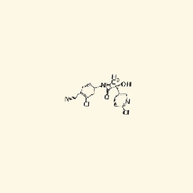 CC(O)(C(=O)Nc1ccc(C#N)c(Cl)c1)c1ccc(Cl)nc1